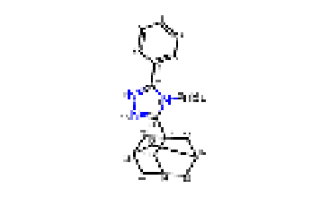 CCCCn1c(-c2ccccc2)nnc1C12CC3CC(CC(C3)C1)C2